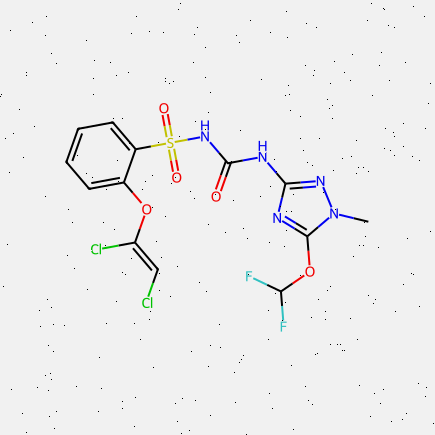 Cn1nc(NC(=O)NS(=O)(=O)c2ccccc2OC(Cl)=CCl)nc1OC(F)F